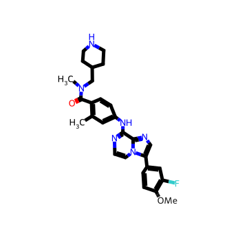 COc1ccc(-c2cnc3c(Nc4ccc(C(=O)N(C)CC5CCNCC5)c(C)c4)nccn23)cc1F